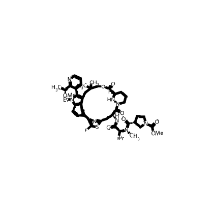 CCn1c(-c2cccnc2[C@H](C)OC)c2c3cc(ccc31)-c1nc(sc1F)C[C@H](NC(=O)C(C(C)C)N(C)C(=O)[C@H]1CCN(C(=O)OC)C1)C(=O)N1CCC[C@H](N1)C(=O)OCC(C)(C)C2